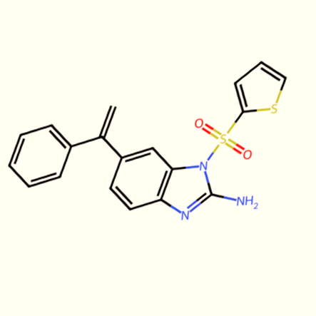 C=C(c1ccccc1)c1ccc2nc(N)n(S(=O)(=O)c3cccs3)c2c1